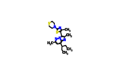 CCC(CC)c1cc(C)nn2c(-c3sc(N4CCSCC4)nc3C)c(C)nc12